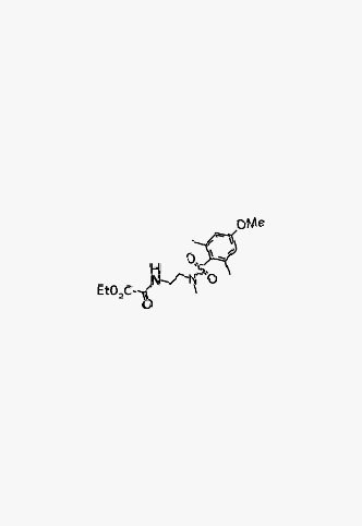 CCOC(=O)C(=O)NCCN(C)S(=O)(=O)c1c(C)cc(OC)cc1C